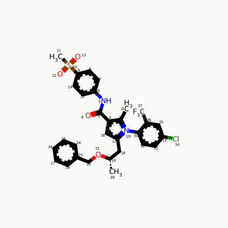 Cc1c(C(=O)Nc2ccc(S(C)(=O)=O)cc2)cc(C[C@H](C)OCc2ccccc2)n1-c1ccc(Cl)cc1C(F)(F)F